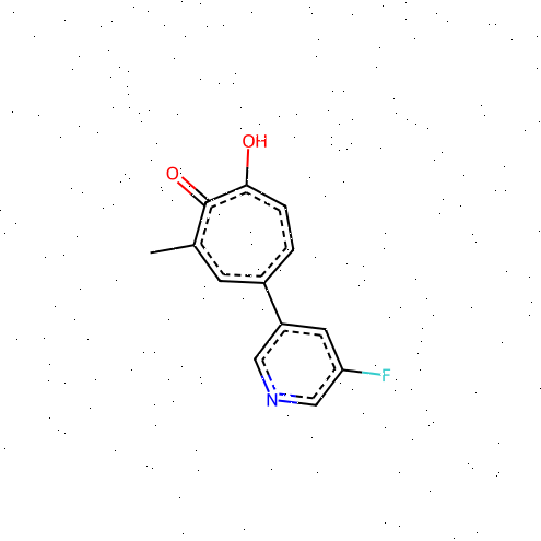 Cc1cc(-c2cncc(F)c2)ccc(O)c1=O